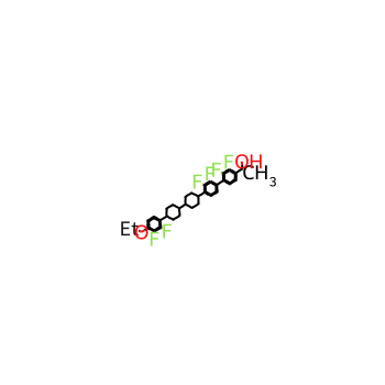 CCOc1ccc(C2CCC(C3CCC(c4ccc(-c5ccc(C(C)O)c(F)c5F)c(F)c4F)CC3)CC2)c(F)c1F